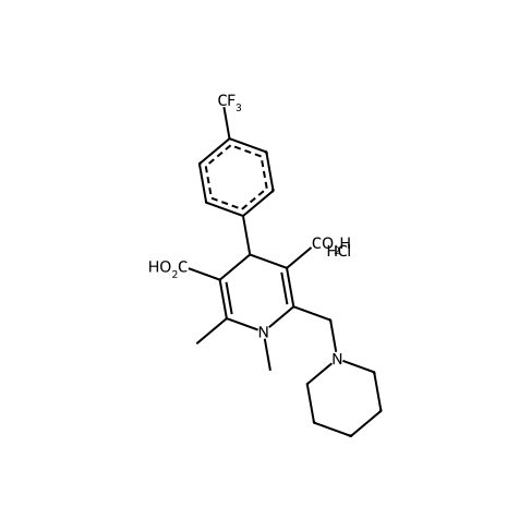 CC1=C(C(=O)O)C(c2ccc(C(F)(F)F)cc2)C(C(=O)O)=C(CN2CCCCC2)N1C.Cl